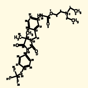 CCN(CC)CCOC(=O)Nc1cc(CN2C(=O)N(c3ccc(SC(F)(F)F)cc3)C(=O)C2(C)C)ccn1